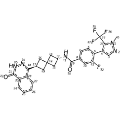 Cn1ncc(-c2ccc(C(=O)N[C@H]3CC4(C3)C[C@H](c3n[nH]c(=O)c5ccccc53)C4)cc2F)c1C(F)(F)F